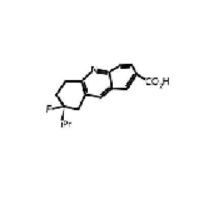 CC(C)[C@@]1(F)CCc2nc3ccc(C(=O)O)cc3cc2C1